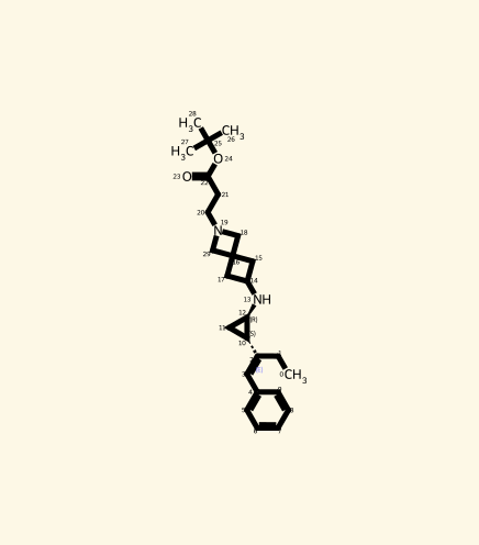 CC/C(=C\c1ccccc1)[C@@H]1C[C@H]1NC1CC2(C1)CN(CCC(=O)OC(C)(C)C)C2